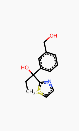 CCC(O)(c1cccc(CO)c1)c1nccs1